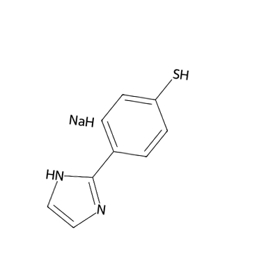 Sc1ccc(-c2ncc[nH]2)cc1.[NaH]